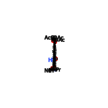 CC(=O)O[C@@H]1[C@@H](OC(C)=O)[C@H](OCCCCCCCCCCCCCCCC(=O)NCCCCCCOP(OCCC#N)N(C(C)C)C(C)C)OC[C@H]1OC(C)=O